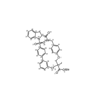 COC(=O)C(C)(C)COc1ccc(CNC(=O)[C@@H]2Cc3ccccc3N2S(=O)(=O)c2ccc(-c3cccc(C(F)(F)F)c3)cc2)cc1